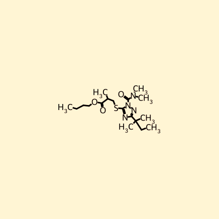 CCCCOC(=O)C(C)CSc1nc(C(C)(C)CC)nn1C(=O)N(C)C